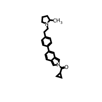 CC1CCCN1CCc1ccc(-c2ccc3cn(C(=O)C4CC4)cc3c2)cc1